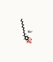 CCCCCCCCCCCCc1ccc(S(=O)(=O)[O-])cc1.[Na+]